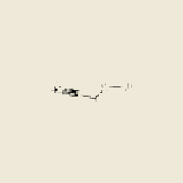 C#CCO[O]